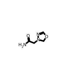 NC(=O)CN1COC=N1